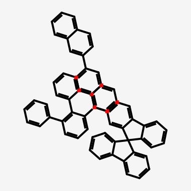 c1ccc(-c2ccccc2-c2c(-c3ccccc3)cccc2N(c2ccc(-c3ccc4ccccc4c3)cc2)c2ccc3c(c2)C2(c4ccccc4-c4ccccc42)c2ccccc2-3)cc1